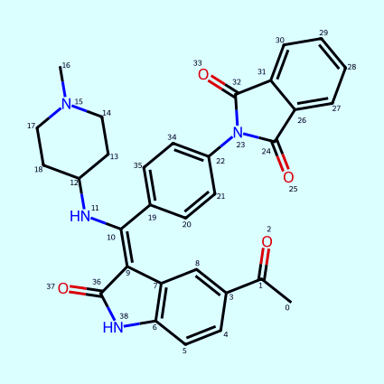 CC(=O)c1ccc2c(c1)/C(=C(/NC1CCN(C)CC1)c1ccc(N3C(=O)c4ccccc4C3=O)cc1)C(=O)N2